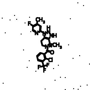 Cc1cc(N2NNC3=C2CCN(C(=O)c2cccc(C(F)(F)F)c2Cl)[C@@H]3C)ncc1F